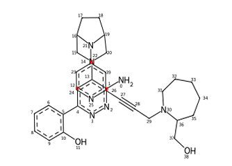 Nc1nnc(-c2ccccc2O)cc1N1CC2CCC(C1)N2c1ccnc(C#CCN2CCCCCC2CO)c1